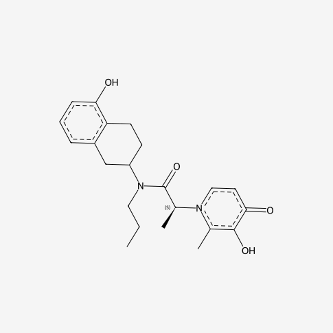 CCCN(C(=O)[C@H](C)n1ccc(=O)c(O)c1C)C1CCc2c(O)cccc2C1